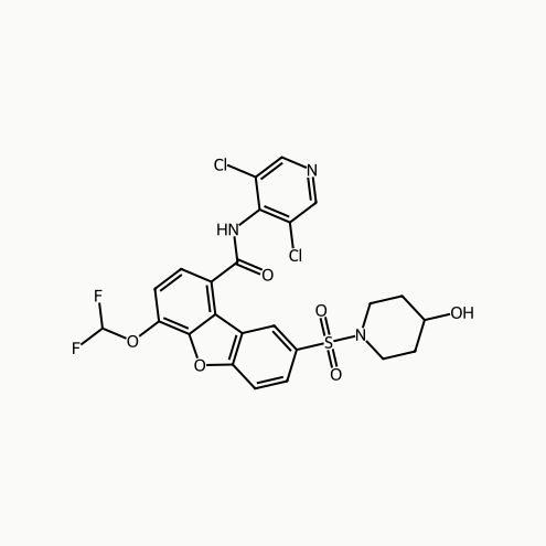 O=C(Nc1c(Cl)cncc1Cl)c1ccc(OC(F)F)c2oc3ccc(S(=O)(=O)N4CCC(O)CC4)cc3c12